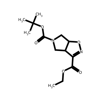 CCOC(=O)C1=NOC2CN(C(=O)OC(C)(C)C)CC12